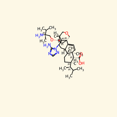 CC(C)[C@@H](C)[C@@]1(C)CC[C@]2(C)[C@H]3CC[C@@H]4[C@@]5(COC[C@@]4(C)[C@@H](OC[C@](C)(N)C(C)C)[C@H](n4ncnc4N)C5)C3=CC[C@@]2(C)[C@@H]1C(=O)O